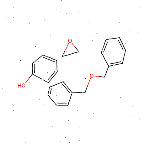 C1CO1.Oc1ccccc1.c1ccc(COCc2ccccc2)cc1